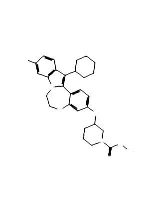 Cc1ccc2c(C3CCCCC3)c3n(c2c1)CCOc1cc(OC2CCCN(C(=O)OC(C)(C)C)C2)ccc1-3